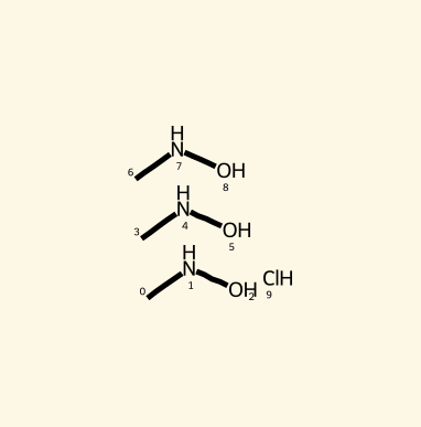 CNO.CNO.CNO.Cl